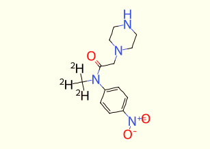 [2H]C([2H])([2H])N(C(=O)CN1CCNCC1)c1ccc([N+](=O)[O-])cc1